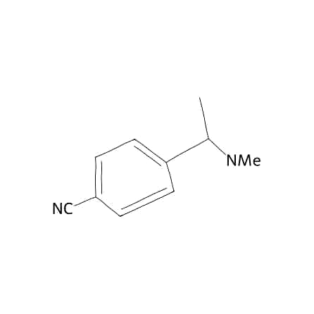 CNC(C)c1ccc(C#N)cc1